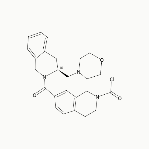 O=C(Cl)N1CCc2ccc(C(=O)N3Cc4ccccc4C[C@H]3CN3CCOCC3)cc2C1